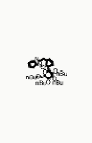 CCCCOC[C@H]1O[C@@H](c2cccc(Cc3nc4ccccc4n3C)c2)[C@H](OCCCC)[C@@H](OCCCC)[C@@H]1OCCCC